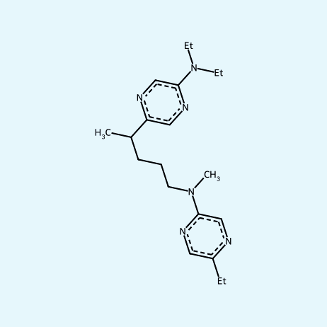 CCc1cnc(N(C)CCCC(C)c2cnc(N(CC)CC)cn2)cn1